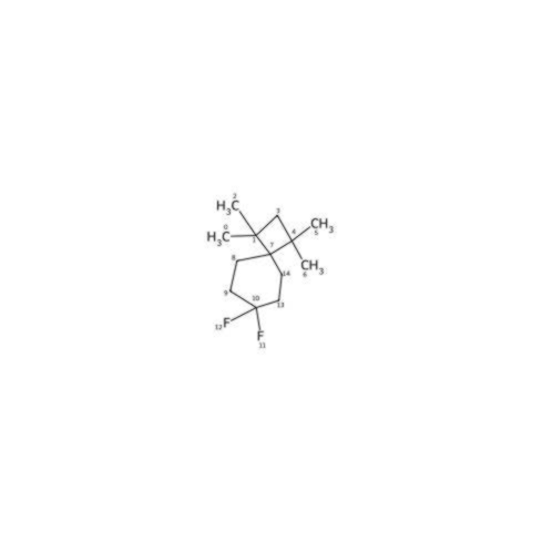 CC1(C)CC(C)(C)C12CCC(F)(F)CC2